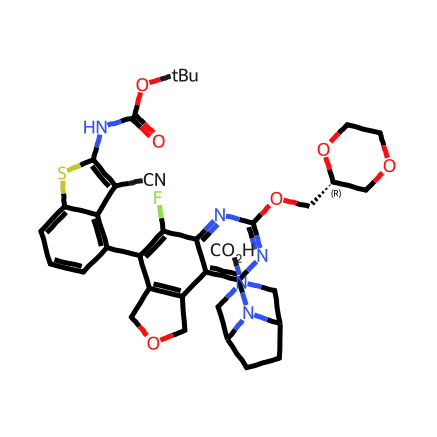 CC(C)(C)OC(=O)Nc1sc2cccc(-c3c4c(c5c(N6C7CCC6CN(C(=O)O)C7)nc(OC[C@H]6COCCO6)nc5c3F)COC4)c2c1C#N